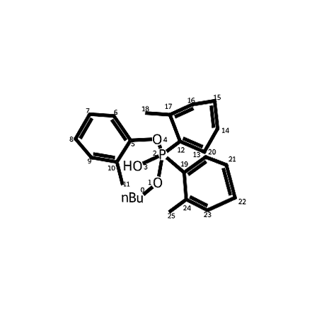 CCCCOP(O)(Oc1ccccc1C)(c1ccccc1C)c1ccccc1C